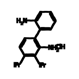 CC(C)c1ccc(-c2ccccc2N)c(N)c1C(C)C.Cl